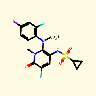 Cn1c(N(C(=O)O)c2ccc(I)cc2F)c(NS(=O)(=O)C2CC2)cc(F)c1=O